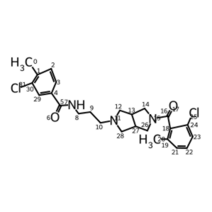 Cc1ccc(C(=O)NCCCN2CC3CN(C(=O)c4c(C)cccc4Cl)CC3C2)cc1Cl